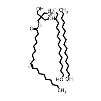 CCCCCCCC/C=C\CCCCCCCC(=O)OCC(CO)(CO)CO.CCCCCCCCCCCCCCCCO.CCCCCCCCCCCCCCCCO